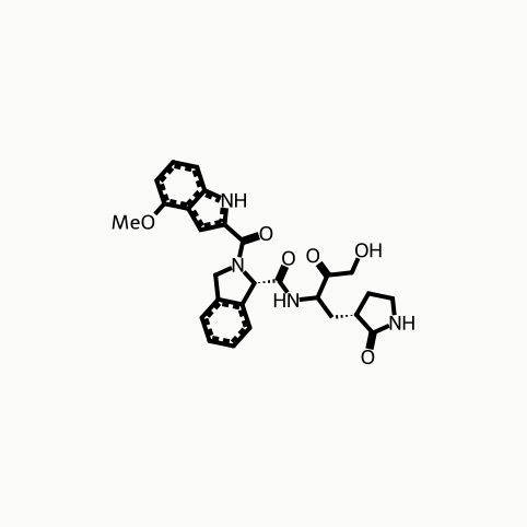 COc1cccc2[nH]c(C(=O)N3Cc4ccccc4[C@H]3C(=O)NC(C[C@@H]3CCNC3=O)C(=O)CO)cc12